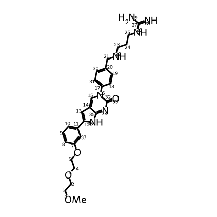 COCCOCCOc1cccc(-c2cc3cn(-c4ccc(CNCCCNC(=N)N)cc4)c(=O)nc3[nH]2)c1